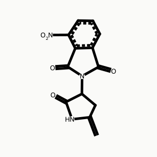 C=C1CC(N2C(=O)c3cccc([N+](=O)[O-])c3C2=O)C(=O)N1